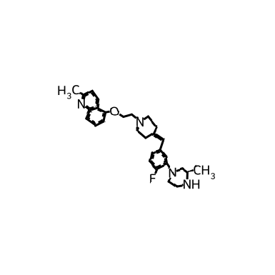 Cc1ccc2c(OCCN3CCC(=Cc4ccc(F)c(N5CCN[C@H](C)C5)c4)CC3)cccc2n1